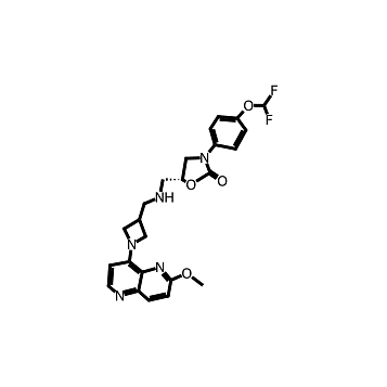 COc1ccc2nccc(N3CC(CNC[C@@H]4CN(c5ccc(OC(F)F)cc5)C(=O)O4)C3)c2n1